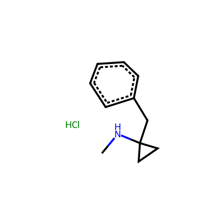 CNC1(Cc2ccccc2)CC1.Cl